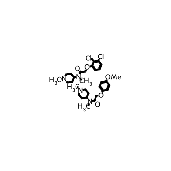 CN1CCC(N(C)C(=O)COc2cccc(Cl)c2Cl)CC1.COc1ccc(OCC(=O)N(C)C2CCN(C)CC2)cc1